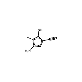 Cn1c(N)cc(C#N)c1N